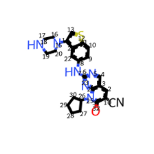 N#Cc1cc2cnc(Nc3ccc4scc(N5CCNCC5)c4c3)nc2n(C2CCCC2)c1=O